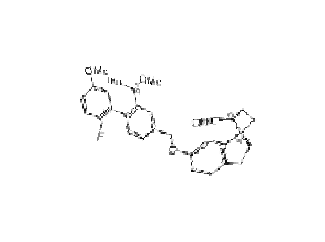 COc1ccc(F)c(-c2ccc(COc3ccc4c(c3)[C@@]3(CC4)CC[C@@H]3C=O)cc2[C@@H](OC)C(C)(C)C)c1